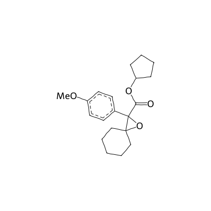 COc1ccc(C2(C(=O)OC3CCCC3)OC23CCCCC3)cc1